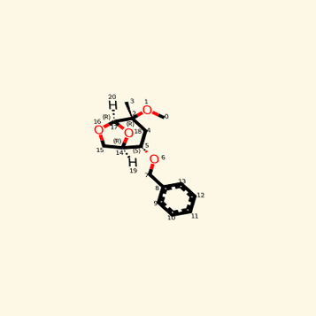 CO[C@]1(C)C[C@H](OCc2ccccc2)[C@H]2CO[C@@H]1O2